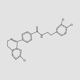 O=C(NCCc1ccc(Cl)c(Cl)c1)c1ccc(C2=NCCc3ccc(Cl)cc32)cc1